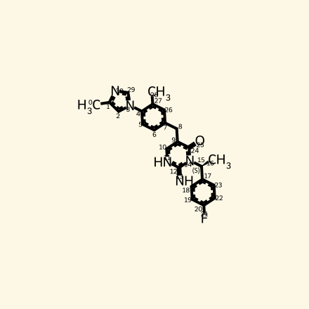 Cc1cn(-c2ccc(Cc3c[nH]c(=N)n([C@@H](C)c4ccc(F)cc4)c3=O)cc2C)cn1